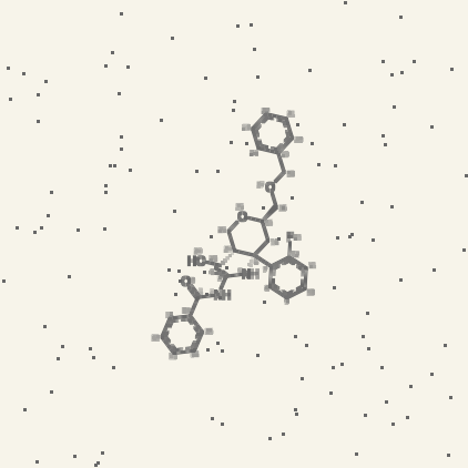 O=C(NC(=S)N[C@@]1(c2ccccc2F)C[C@H](COCc2ccccc2)OC[C@H]1CO)c1ccccc1